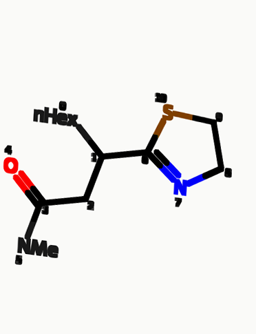 CCCCCCC(CC(=O)NC)C1=NCCS1